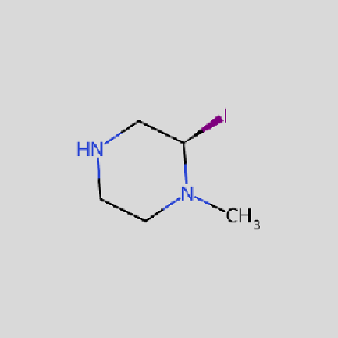 CN1CCNC[C@H]1I